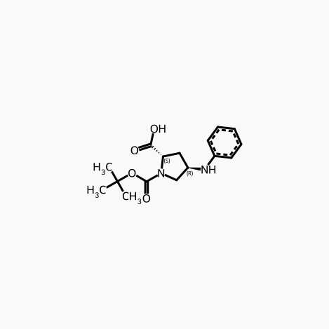 CC(C)(C)OC(=O)N1C[C@H](Nc2ccccc2)C[C@H]1C(=O)O